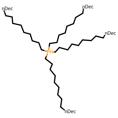 CCCCCCCCCCCCCCCCCCC[PH](CCCCCCCCCCCCCCCCCC)(CCCCCCCCCCCCCCCCCCC)CCCCCCCCCCCCCCCCCCC